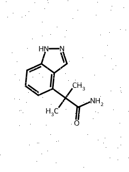 CC(C)(C(N)=O)c1cccc2[nH]ncc12